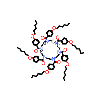 CCCCCCOc1ccc(C(=O)N2CCN(C(=O)c3ccc(OCCCCCC)cc3)CCN(C(=O)c3ccc(OCCCCCC)cc3)CCN(C(=O)c3ccc(OCCCCCC)cc3)CCN(C(=O)c3ccc(OCCCCCC)cc3)CCN(C(=O)c3ccc(OCCCCCC)cc3)CC2)cc1